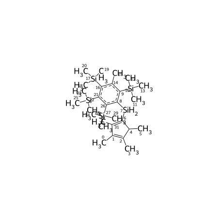 CC1=C(C)C(C)C([SiH2]c2c([Si](C)(C)C)c(C)c([Si](C)(C)C)c([Si](C)(C)C)c2[Si](C)(C)C)=C1C